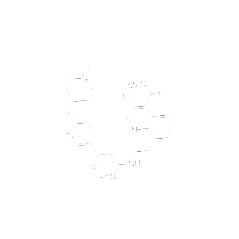 CNC(=O)c1c(F)cnc2c([C@H](C)CNc3cc(-c4ccc(CC5CCN(C(C)=O)CC5)nc4)ncn3)cccc12